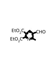 CCOC(=O)c1cc(C=O)c(C)nc1C(=O)OCC